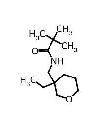 CCC1(CNC(=O)C(C)(C)C)CCCOC1